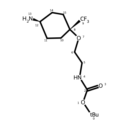 CC(C)(C)OC(=O)NCCO[C@]1(C(F)(F)F)CC[C@@H](N)CC1